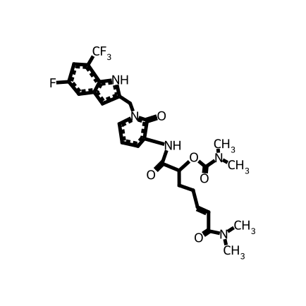 CN(C)C(=O)C=CCCC(OC(=O)N(C)C)C(=O)Nc1cccn(Cc2cc3cc(F)cc(C(F)(F)F)c3[nH]2)c1=O